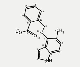 Cc1ccc2[nH]ccc2c1OCc1ccccc1C(=O)O